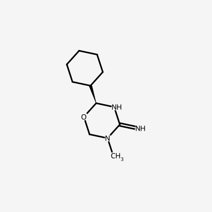 CN1CO[C@@H](C2CCCCC2)NC1=N